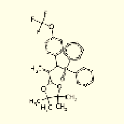 C=C(B1OC(C)(C)C(C)(C)O1)C(c1ccc(OC(F)(F)F)cc1)P(=O)(c1ccccc1)c1ccccc1